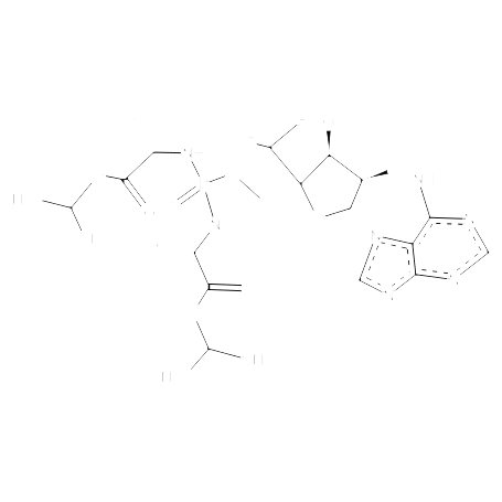 CC(C)OC(=O)[C@H](C)NP(=O)(N[C@@H](C)C(=O)OC(C)C)OC[C@@]1(C(F)F)O[C@@H](n2cnc3ncnc(N)c32)[C@H](O)[C@@H]1O